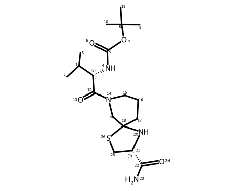 CC(C)[C@H](NC(=O)OC(C)(C)C)C(=O)N1CCCC2(C1)N[C@H](C(N)=O)CS2